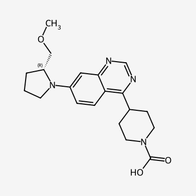 COC[C@H]1CCCN1c1ccc2c(C3CCN(C(=O)O)CC3)ncnc2c1